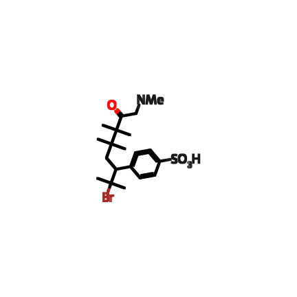 CNCC(=O)C(C)(C)C(C)(C)CC(C1=C=C=C(S(=O)(=O)O)C=C1)C(C)(C)Br